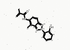 C=C(C)C(=O)Nc1ccc2nn(-c3ccccc3O)nc2c1C